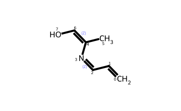 C=C/C=N\C(C)=C/O